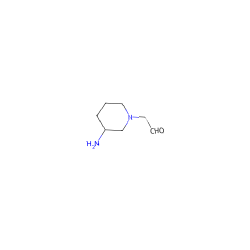 NC1CCCN(CC=O)C1